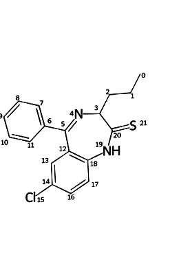 CCCC1N=C(c2ccccc2)c2cc(Cl)ccc2NC1=S